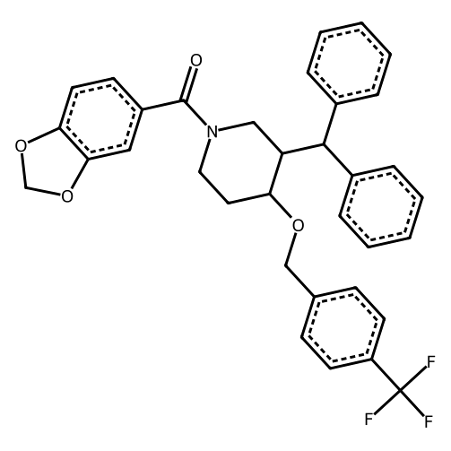 O=C(c1ccc2c(c1)OCO2)N1CCC(OCc2ccc(C(F)(F)F)cc2)C(C(c2ccccc2)c2ccccc2)C1